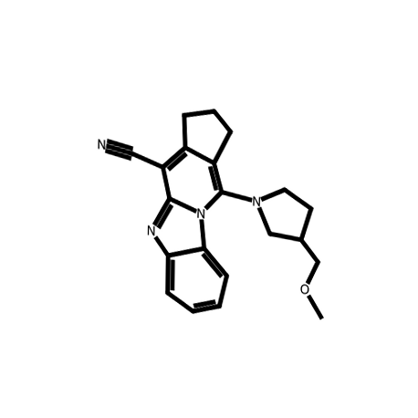 COCC1CCN(c2c3c(c(C#N)c4nc5ccccc5n24)CCC3)C1